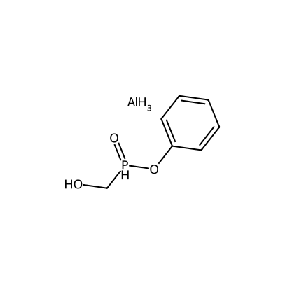 O=[PH](CO)Oc1ccccc1.[AlH3]